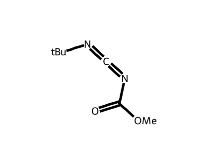 COC(=O)N=C=NC(C)(C)C